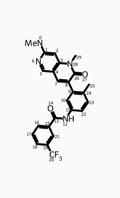 CNc1cc2c(cn1)cc(-c1cc(NC(=O)c3cccc(C(F)(F)F)c3)ccc1C)c(=O)n2C